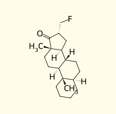 C[C@]12CCCC[C@@H]1CC[C@@H]1[C@@H]2CC[C@]2(C)C(=O)[C@H](CF)C[C@@H]12